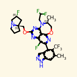 Cc1cc2[nH]ncc2c(-c2nc3c4c(nc(OC[C@@]56CCCN5C[C@H](F)C6)nc4c2F)N(CC(F)F)[C@@H](C)CO3)c1C(F)(F)F